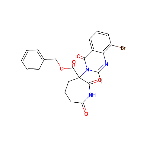 Cc1nc2c(Br)cccc2c(=O)n1C1(C(=O)OCc2ccccc2)CCCC(=O)NC1=O